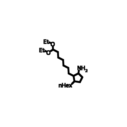 CCCCCCC1CCC(N)C1CCCCCCC(OCC)OCC